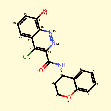 O=C(N[C@H]1CCOc2ccccc21)c1nnc2c(Br)cccc2c1Cl